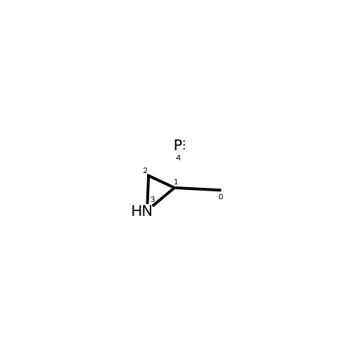 CC1CN1.[P]